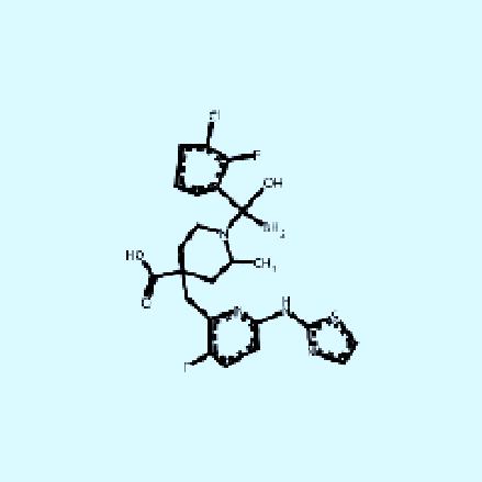 BC(O)(c1cccc(Cl)c1F)N1CCC(Cc2nc(Nc3nccs3)ccc2F)(C(=O)O)CC1C